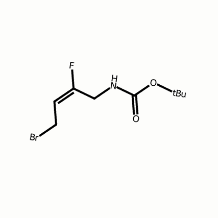 CC(C)(C)OC(=O)NC/C(F)=C\CBr